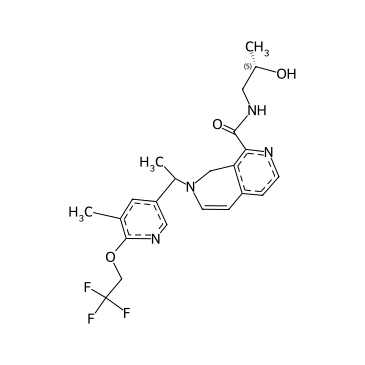 Cc1cc(C(C)N2C=Cc3ccnc(C(=O)NC[C@H](C)O)c3C2)cnc1OCC(F)(F)F